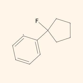 FC1(c2[c]cccc2)CCCC1